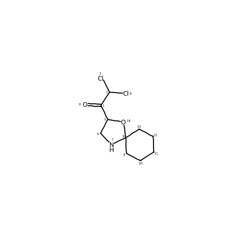 O=C(C(Cl)Cl)C1CNC2(CCCCC2)O1